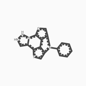 c1ccc(-n2c3csc4c5c[nH][nH]n-5c5occ2c5c43)cc1